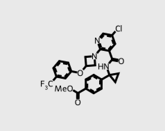 COC(=O)c1ccc(C2(NC(=O)c3cc(Cl)cnc3N3CC(Oc4cccc(C(F)(F)F)c4)C3)CC2)cc1